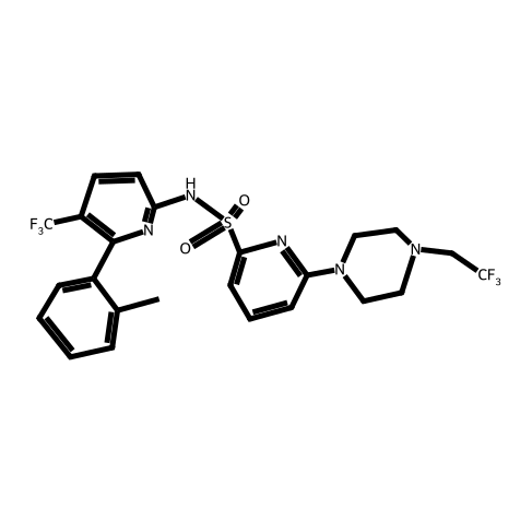 Cc1ccccc1-c1nc(NS(=O)(=O)c2cccc(N3CCN(CC(F)(F)F)CC3)n2)ccc1C(F)(F)F